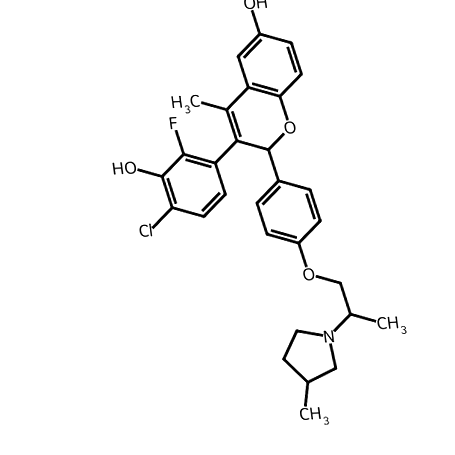 CC1=C(c2ccc(Cl)c(O)c2F)C(c2ccc(OCC(C)N3CCC(C)C3)cc2)Oc2ccc(O)cc21